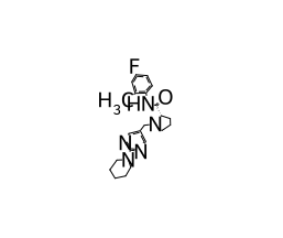 Cc1cc(F)ccc1NC(=O)[C@@H]1CCCN1Cc1cnc(N2CCCCC2)nc1